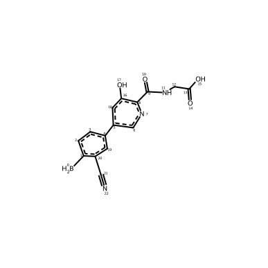 Bc1ccc(-c2cnc(C(=O)NCC(=O)O)c(O)c2)cc1C#N